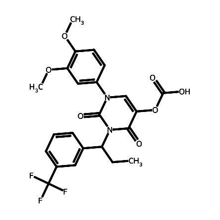 CCC(c1cccc(C(F)(F)F)c1)n1c(=O)c(OC(=O)O)cn(-c2ccc(OC)c(OC)c2)c1=O